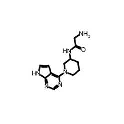 NCC(=O)NC1CCCN(c2ncnc3[nH]ccc23)C1